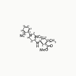 COC(=O)c1cc(NC2CCN(c3ccccc3C#N)CC2)c(C#N)cc1C